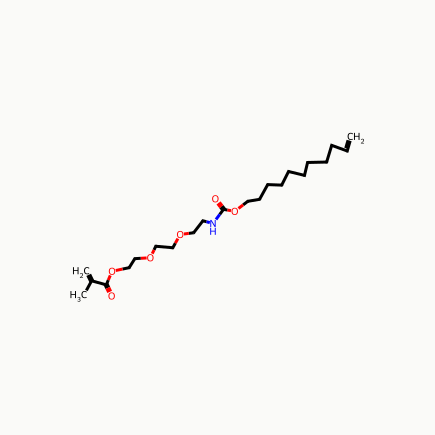 C=CCCCCCCCCCOC(=O)NCCOCCOCCOC(=O)C(=C)C